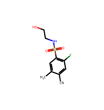 Cc1cc(S(=O)(=O)NCCO)c(F)cc1C#N